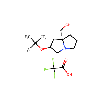 O=C(O)C(F)(F)F.OC[C@]12CCCN1C[C@@H](OC(C(F)(F)F)(C(F)(F)F)C(F)(F)F)C2